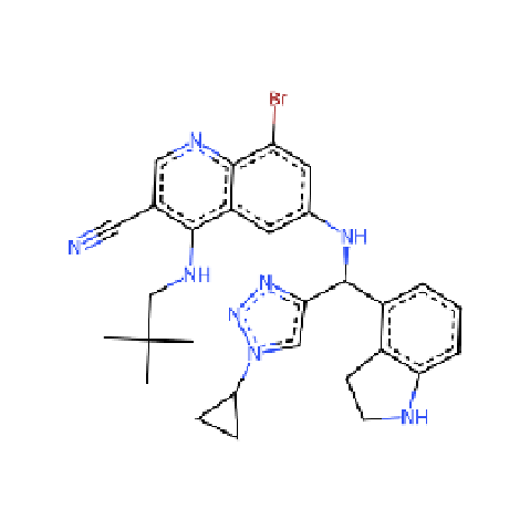 CC(C)(C)CNc1c(C#N)cnc2c(Br)cc(N[C@H](c3cn(C4CC4)nn3)c3cccc4c3CCN4)cc12